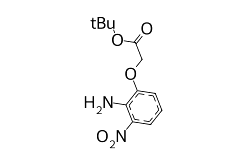 CC(C)(C)OC(=O)COc1cccc([N+](=O)[O-])c1N